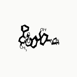 CC1CCC(c2ccccc2)S(=O)(=O)N1Cc1ccc(C2(CO)CCC(n3cnnc3)CC2)cc1F